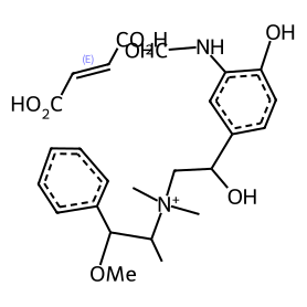 COC(c1ccccc1)C(C)[N+](C)(C)CC(O)c1ccc(O)c(NC=O)c1.O=C(O)/C=C/C(=O)O